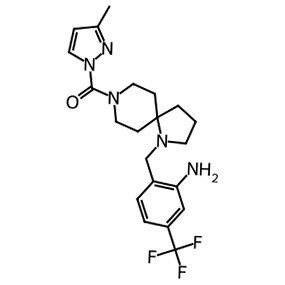 Cc1ccn(C(=O)N2CCC3(CCCN3Cc3ccc(C(F)(F)F)cc3N)CC2)n1